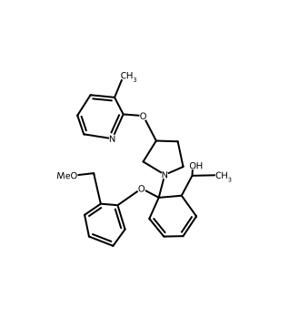 COCc1ccccc1OC1(N2CCC(Oc3ncccc3C)C2)C=CC=CC1C(C)O